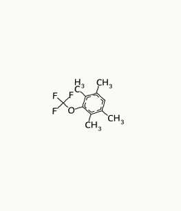 Cc1cc(C)c(C)c(OC(F)(F)F)c1C